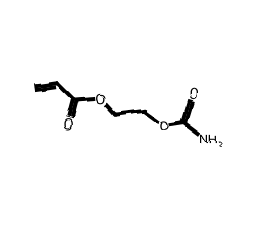 C=CC(=O)OCCOC(N)=O